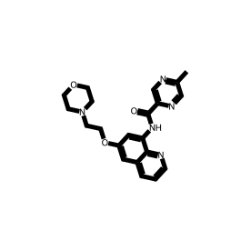 Cc1cnc(C(=O)Nc2cc(OCCN3CCOCC3)cc3cccnc23)cn1